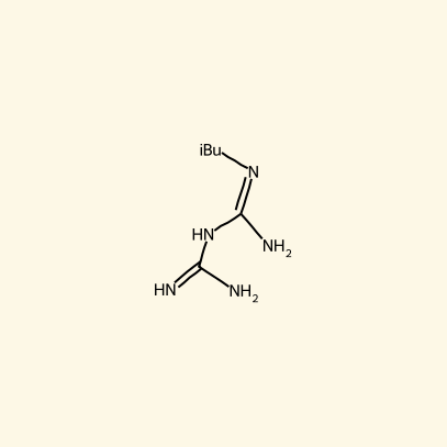 CCC(C)N=C(N)NC(=N)N